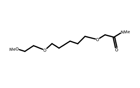 CNC(=O)COCCCCCOCCOC